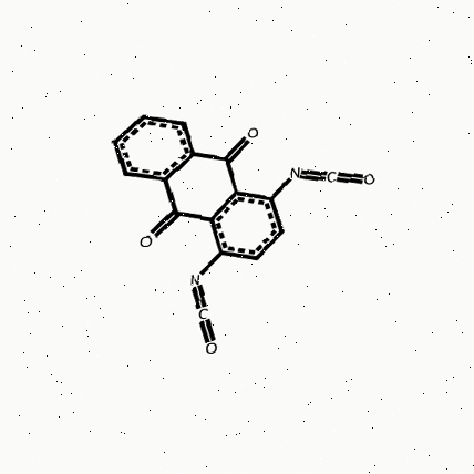 O=C=Nc1ccc(N=C=O)c2c1C(=O)c1ccccc1C2=O